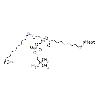 CCCCCCC/C=C\CCCCCCCC(=O)O[C@H](CO/C=C\CCCCCCCCCCCCCCCCCC)COP(=O)([O-])OCC[N+](C)(C)C